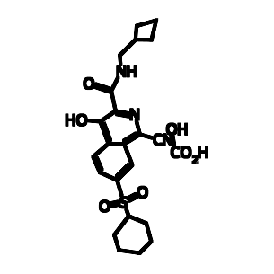 N#Cc1nc(C(=O)NCC2CCC2)c(O)c2ccc(S(=O)(=O)C3CCCCC3)cc12.O=C(O)O